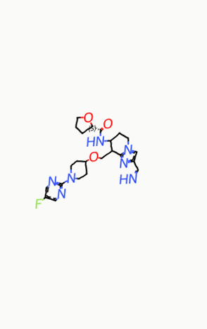 N=Cc1cn2c(n1)C(COC1CCN(c3ncc(F)cn3)CC1)C(NC(=O)[C@@H]1CCCO1)CC2